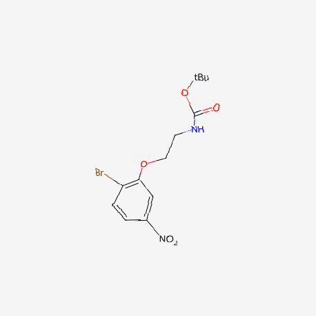 CC(C)(C)OC(=O)NCCOc1cc([N+](=O)[O-])ccc1Br